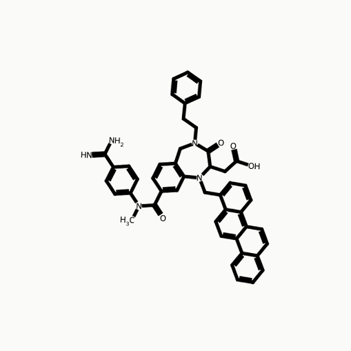 CN(C(=O)c1ccc2c(c1)N(Cc1cccc3c1ccc1c4ccccc4ccc31)C(CC(=O)O)C(=O)N(CCc1ccccc1)C2)c1ccc(C(=N)N)cc1